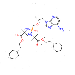 C[C@H](Cn1cnc2c(N)ccnc21)OCP(=O)(NC(C)(C)C(=O)OCCC1CCCCC1)NC(C)(C)C(=O)OCCC1CCCCC1